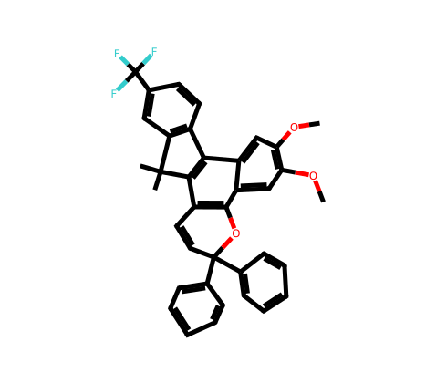 COc1cc2c3c(c4c(c2cc1OC)-c1ccc(C(F)(F)F)cc1C4(C)C)C=CC(c1ccccc1)(c1ccccc1)O3